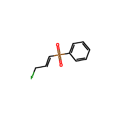 O=S(=O)(C=CCF)c1ccccc1